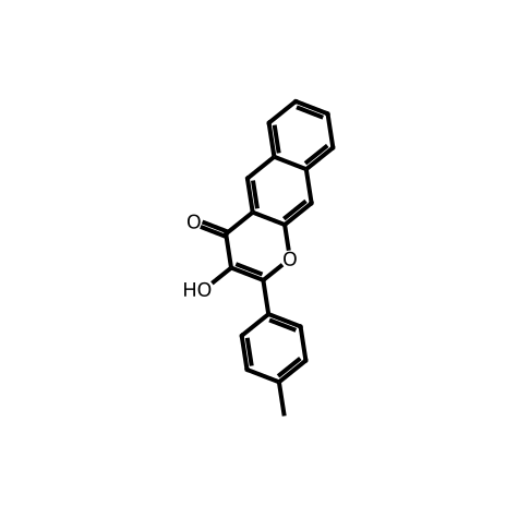 Cc1ccc(-c2oc3cc4ccccc4cc3c(=O)c2O)cc1